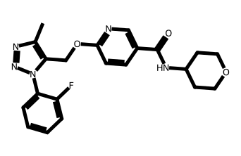 Cc1nnn(-c2ccccc2F)c1COc1ccc(C(=O)NC2CCOCC2)cn1